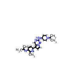 C=C(C)N1CCC(Nc2ncc3c(-c4ccc(N=C(C)C)c(C)n4)ccn3n2)CC1